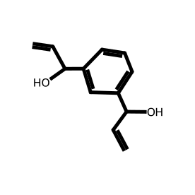 C=CC(O)c1cccc(C(O)C=C)c1